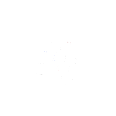 O=c1c2c(-c3ccccc3)cccc2c2c(Br)ccc3nc(-c4ccccc4)n1c32